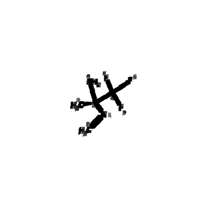 C=N[C@@](C)(N)C(F)(F)F